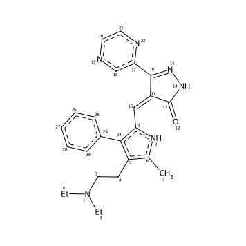 CCN(CC)CCc1c(C)[nH]c(C=C2C(=O)NN=C2c2cnccn2)c1-c1ccccc1